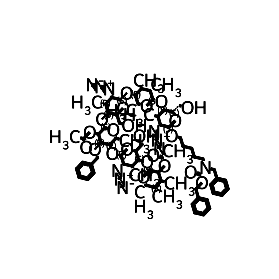 CC(=O)OC1C(C)[C@H](C)C(C)O[C@H]1O[C@@H]1C(CO)O[C@H](O[C@@H]2C(C)O[C@@H](O[C@@H]3C(CO)O[C@H](O[C@@H]4C(C)O[C@@H](O[C@H]5C(C)C(N=[N+]=[N-])[C@@H](OCCCCCN(Cc6ccccc6)C(=O)OCc6ccccc6)O[C@H]5CO)C(C)C4C)C(N=[N+]=[N-])[C@H]3C)C(OC(C)=O)[C@@H]2OCc2ccccc2)C(N=[N+]=[N-])C1C